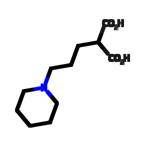 O=C(O)C(CCCN1CCCCC1)C(=O)O